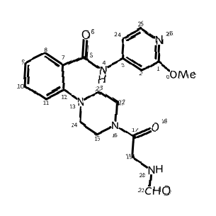 COc1cc(NC(=O)c2ccccc2N2CCN(C(=O)CNC=O)CC2)ccn1